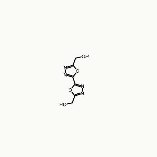 OCc1nnc(-c2nnc(CO)o2)o1